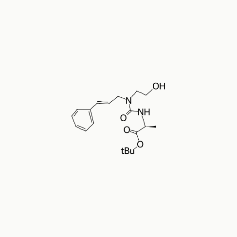 C[C@H](NC(=O)N(CC=Cc1ccccc1)CCO)C(=O)OC(C)(C)C